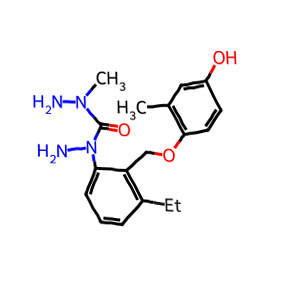 CCc1cccc(N(N)C(=O)N(C)N)c1COc1ccc(O)cc1C